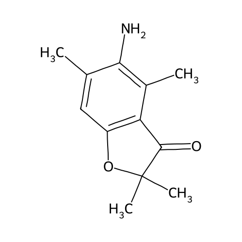 Cc1cc2c(c(C)c1N)C(=O)C(C)(C)O2